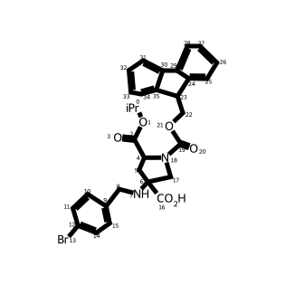 CC(C)OC(=O)C1CC(NCc2ccc(Br)cc2)(C(=O)O)CN1C(=O)OCC1c2ccccc2-c2ccccc21